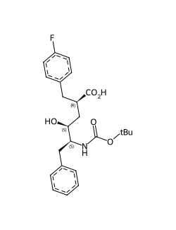 CC(C)(C)OC(=O)N[C@@H](Cc1ccccc1)[C@@H](O)C[C@@H](Cc1ccc(F)cc1)C(=O)O